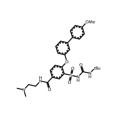 COc1ccc(-c2cccc(Oc3ccc(C(=O)NCCN(C)C)cc3S(=O)(=O)NC(=O)NC(C)(C)C)c2)cc1